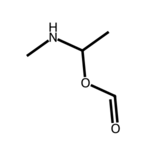 CNC(C)OC=O